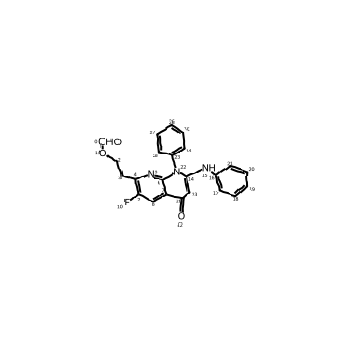 O=COCCc1nc2c(cc1F)c(=O)cc(Nc1ccccc1)n2-c1ccccc1